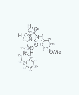 COc1ccc(CN2C(=O)N(CC(O)CN3CCc4ccccc4C3)C(C)(C)C2=O)cc1